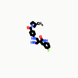 C[C@H]1CCN(C(=O)c2ccc(N/C=C(\C=N)c3cc4cc(F)ccc4[nH]c3=O)cc2)C1